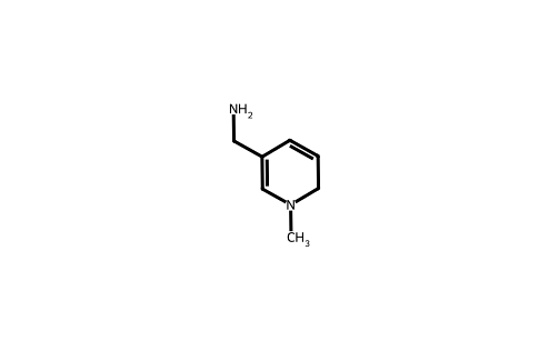 CN1C=C(CN)C=CC1